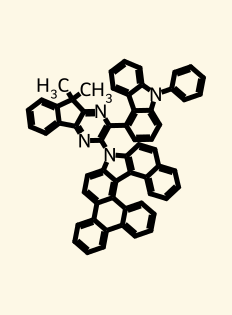 CC1(C)c2ccccc2-c2nc(-n3c4ccc5ccccc5c4c4c5c6ccccc6c6ccccc6c5ccc43)c(-c3cccc4c3c3ccccc3n4-c3ccccc3)nc21